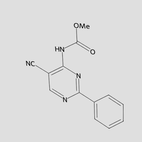 COC(=O)Nc1nc(-c2ccccc2)ncc1C#N